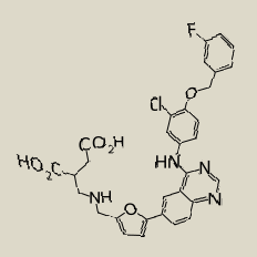 O=C(O)CC(CNCc1ccc(-c2ccc3ncnc(Nc4ccc(OCc5cccc(F)c5)c(Cl)c4)c3c2)o1)C(=O)O